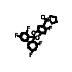 O=C(c1cc2c(cc1F)OC(c1ccc(F)cc1F)(c1ccc(F)cc1F)O2)N1CCCC1